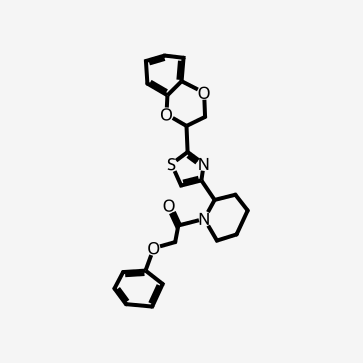 O=C(COc1ccccc1)N1CCCCC1c1csc(C2COc3ccccc3O2)n1